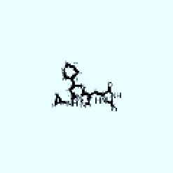 O=C1NC(=O)C(=Cc2cnn3c(NC4CC4)cc(-c4cccnc4)nc23)N1